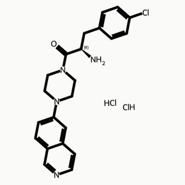 Cl.Cl.N[C@H](Cc1ccc(Cl)cc1)C(=O)N1CCN(c2ccc3cnccc3c2)CC1